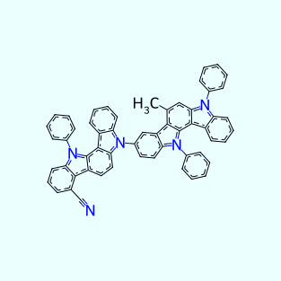 Cc1cc2c(c3ccccc3n2-c2ccccc2)c2c1c1cc(-n3c4ccccc4c4c3ccc3c5c(C#N)cccc5n(-c5ccccc5)c34)ccc1n2-c1ccccc1